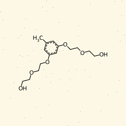 Cc1cc(OCCOCCO)cc(OCCOCCO)c1